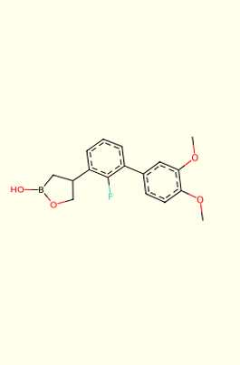 COc1ccc(-c2cccc(C3COB(O)C3)c2F)cc1OC